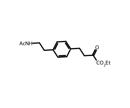 CCOC(=O)C(=O)CCc1ccc(CCNC(C)=O)cc1